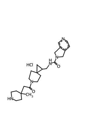 CC1(CC(=O)N2CCC3(CC2)CC3CNC(=O)N2Cc3ccncc3C2)CCNCC1.Cl